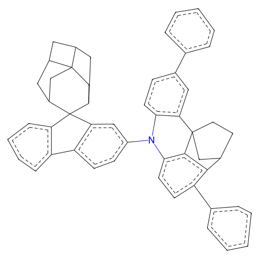 c1ccc(-c2ccc3c(c2)C24CCC(C2)c2c(-c5ccccc5)ccc(c24)N3c2ccc3c(c2)C2(c4ccccc4-3)C3CC4CC5CC2CC45C3)cc1